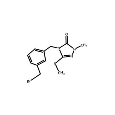 CSc1nn(C)c(=O)n1Cc1cccc(CBr)c1